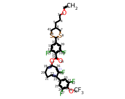 C=COCCCC1CSC(c2cc(F)c(C(=O)OC3=C/CC/C=C(c4cc(F)c(OC(F)(F)F)c(F)c4)/C(F)=C\3)c(F)c2)SC1